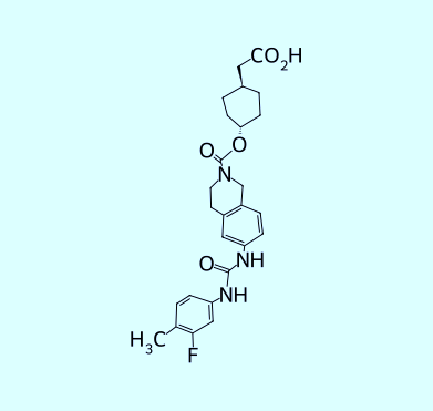 Cc1ccc(NC(=O)Nc2ccc3c(c2)CCN(C(=O)O[C@H]2CC[C@H](CC(=O)O)CC2)C3)cc1F